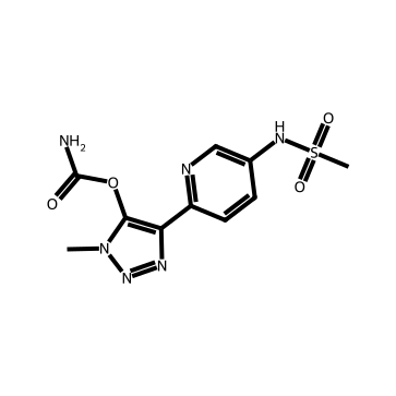 Cn1nnc(-c2ccc(NS(C)(=O)=O)cn2)c1OC(N)=O